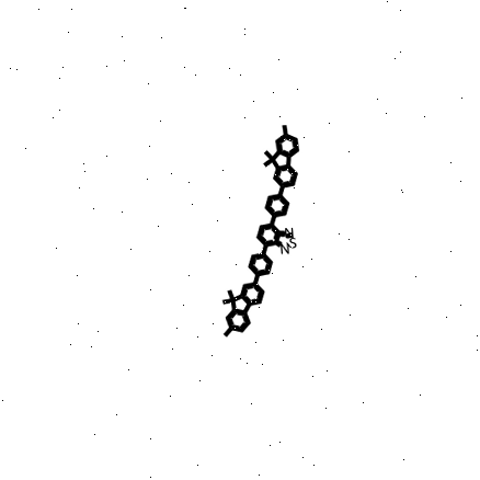 Cc1ccc2c(c1)C(C)(C)c1cc(-c3ccc(-c4ccc(-c5ccc(-c6ccc7c(c6)C(C)(C)c6cc(C)ccc6-7)cc5)c5nsnc45)cc3)ccc1-2